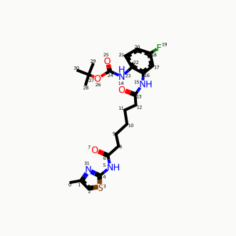 Cc1csc(NC(=O)CCCCCC(=O)Nc2cc(F)ccc2NC(=O)OC(C)(C)C)n1